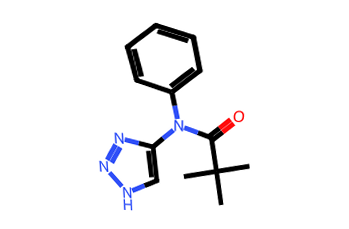 CC(C)(C)C(=O)N(c1ccccc1)c1c[nH]nn1